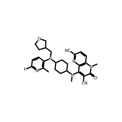 Cc1nc(F)ccc1N(CC1CCOC1)C1CCC(N(C)c2c(C#N)c(=O)n(C)c3ccc(C#N)nc23)CC1